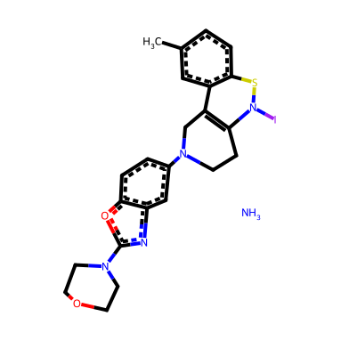 Cc1ccc2c(c1)C1=C(CCN(c3ccc4oc(N5CCOCC5)nc4c3)C1)N(I)S2.N